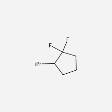 CC(C)C1CCCC1(F)F